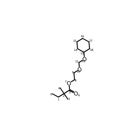 CCC(C)(C)C(=O)OCCOCOC1CCCCC1